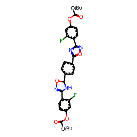 CC(C)COC(=O)Oc1ccc(C2=NOC(c3ccc(-c4nc(-c5ccc(OC(=O)OCC(C)C)cc5F)no4)cc3)N2)c(F)c1